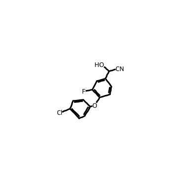 N#CC(O)c1ccc(Oc2ccc(Cl)cc2)c(F)c1